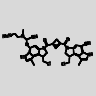 CNCCN(C)C(O)Oc1cc2c(c3c(C)c[nH]c13)C(CCl)CN2C(=O)C12CC(C(=O)N3CC(CCl)c4c3cc(O)c3[nH]cc(C)c43)(C1)C2